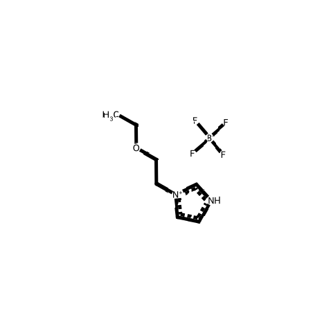 CCOCC[n+]1cc[nH]c1.F[B-](F)(F)F